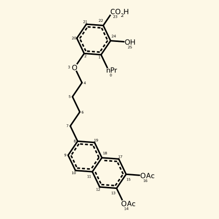 CCCc1c(OCCCCc2ccc3cc(OC(C)=O)c(OC(C)=O)cc3c2)ccc(C(=O)O)c1O